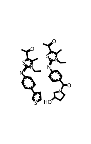 CCn1c(C)c(C(C)=O)sc1=Nc1ccc(-c2ccsc2)cc1.CCn1c(C)c(C(C)=O)sc1=Nc1ccc(C(=O)N2CCC(O)C2)cc1